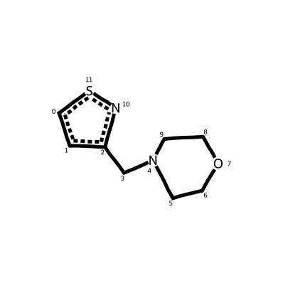 c1cc(CN2CCOCC2)ns1